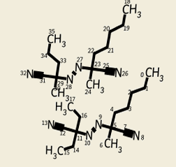 CCCCCC(C)(C#N)N=NC(C#N)(CC)CC.CCCCCC(C)(C#N)N=NC(C)(C#N)CCC